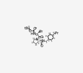 CC(C)c1ccc(CNC(=O)[C@@H]2CCCN2C(=O)[C@@H](NC(=O)OC(C)(C)C)C(C)C)cc1